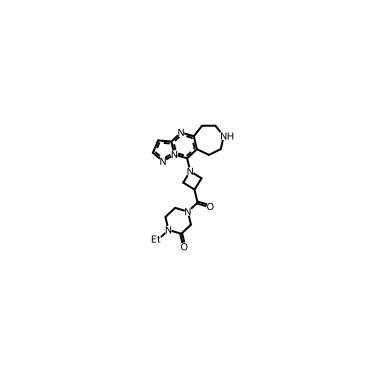 CCN1CCN(C(=O)C2CN(c3c4c(nc5ccnn35)CCNCC4)C2)CC1=O